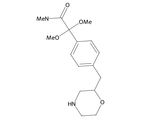 CNC(=O)C(OC)(OC)c1ccc(CC2CNCCO2)cc1